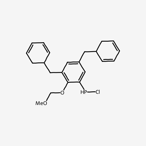 COCOc1c(CC2C=CC=CC2)cc(CC2C=CC=CC2)cc1PCl